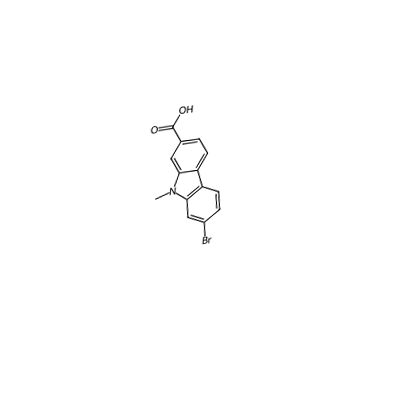 Cn1c2cc(Br)ccc2c2ccc(C(=O)O)cc21